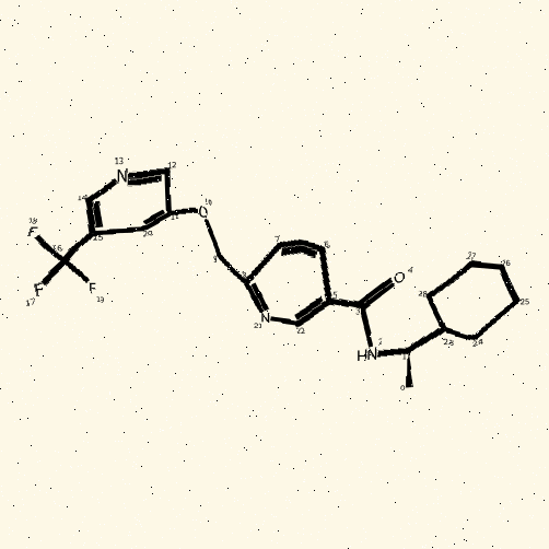 C[C@@H](NC(=O)c1ccc(COc2cncc(C(F)(F)F)c2)nc1)C1CCCCC1